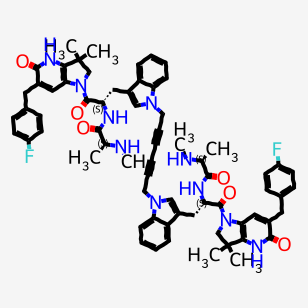 CN[C@@H](C)C(=O)N[C@@H](Cc1cn(CC#CC#CCn2cc(C[C@H](NC(=O)[C@H](C)NC)C(=O)N3CC(C)(C)c4[nH]c(=O)c(Cc5ccc(F)cc5)cc43)c3ccccc32)c2ccccc12)C(=O)N1CC(C)(C)c2[nH]c(=O)c(Cc3ccc(F)cc3)cc21